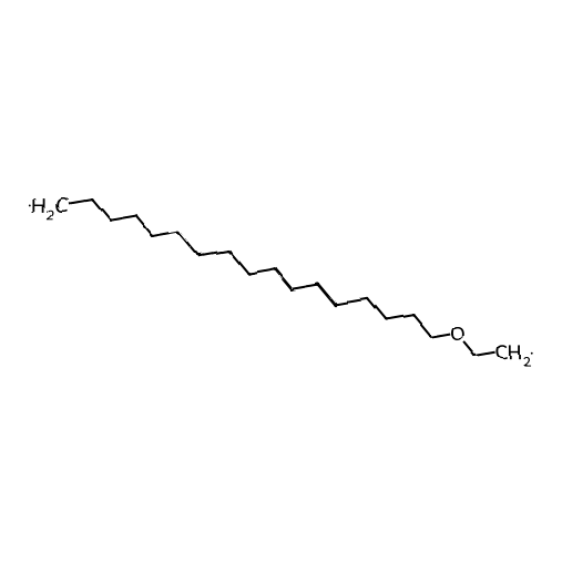 [CH2]CCCCCCCCCCCCCCCCOC[CH2]